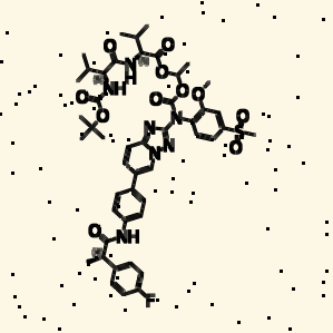 COc1cc(S(C)(=O)=O)ccc1N(C(=O)OC(C)OC(=O)[C@@H](NC(=O)[C@@H](NC(=O)OC(C)(C)C)C(C)C)C(C)C)c1nc2ccc(-c3ccc(NC(=O)[C@H](C)c4ccc(F)cc4)cc3)cn2n1